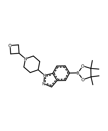 CC1(C)OB(c2ccc3c(cnn3C3CCN(C4COC4)CC3)c2)OC1(C)C